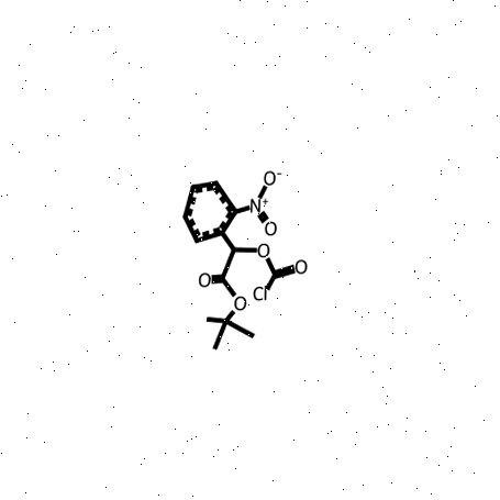 CC(C)(C)OC(=O)C(OC(=O)Cl)c1ccccc1[N+](=O)[O-]